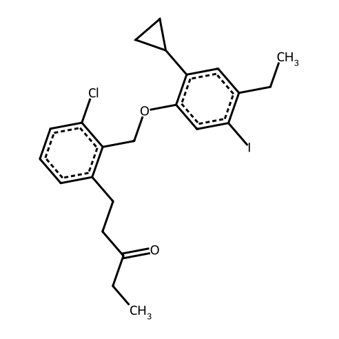 CCC(=O)CCc1cccc(Cl)c1COc1cc(I)c(CC)cc1C1CC1